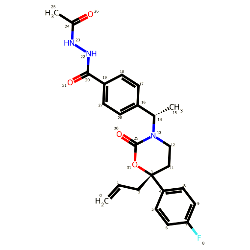 C=CC[C@]1(c2ccc(F)cc2)CCN([C@@H](C)c2ccc(C(=O)NNC(C)=O)cc2)C(=O)O1